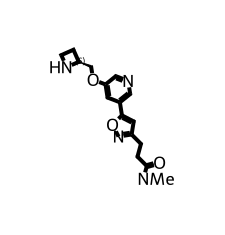 CNC(=O)CCc1cc(-c2cncc(OC[C@@H]3CCN3)c2)on1